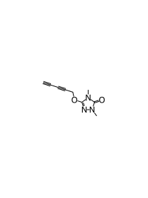 C#CC#CCOc1nn(C)c(=O)n1C